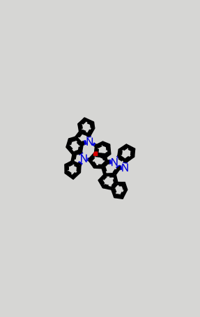 c1ccc(-n2c3ccccc3c3ccc4c5ccccc5n(-c5ccc6c(c5)c5ccc7ccccc7c5c5nc7ccccc7n65)c4c32)cc1